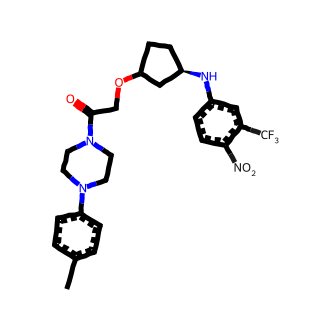 Cc1ccc(N2CCN(C(=O)COC3CC[C@@H](Nc4ccc([N+](=O)[O-])c(C(F)(F)F)c4)C3)CC2)cc1